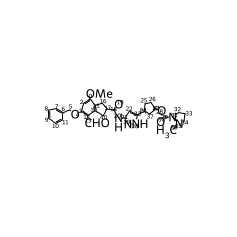 COc1cc(OCc2ccccc2)c(C=O)c2c1CC(C(=O)Nc1cc([C@H]3CC[C@@H](OC(=O)N4CCCN4C)C3)[nH]n1)C2